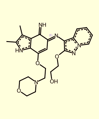 Cc1[nH]c2c(c1C)C(=N)/C(=N/c1c(OCCO)nn3ccccc13)C=C2OCCN1CCOCC1